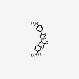 CCPc1ccc2cc(-n3cc(-c4ccc(N)cc4)nn3)c(=O)oc2c1